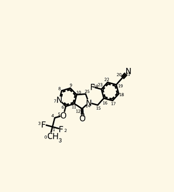 CC(F)(F)COc1nccc2c1C(=O)N(Cc1ccc(C#N)cc1F)C2